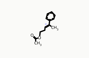 CC(=O)OCC/C=C(\C)c1ccccc1